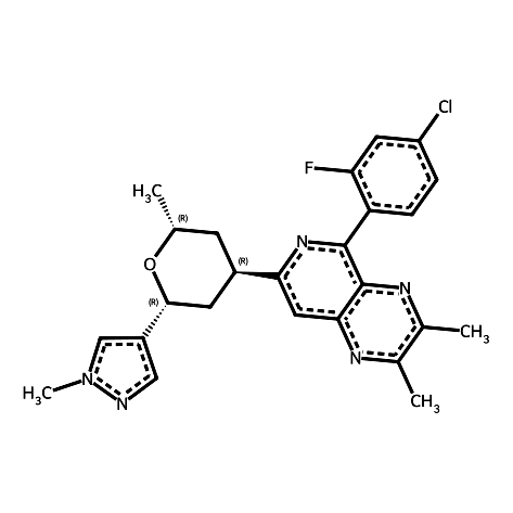 Cc1nc2cc([C@@H]3C[C@@H](C)O[C@@H](c4cnn(C)c4)C3)nc(-c3ccc(Cl)cc3F)c2nc1C